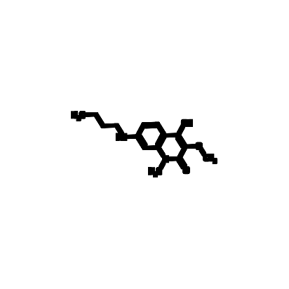 CCCCNc1ccc2c(O)c(OC)c(=O)n(C)c2c1